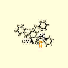 CCC(C)(Pc1ccccc1C(C)=O)c1cc(Cc2ccccc2)cc(Cc2ccccc2)c1OC